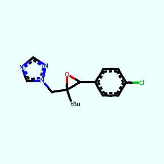 CC(C)(C)C1(Cn2cncn2)OC1c1ccc(Cl)cc1